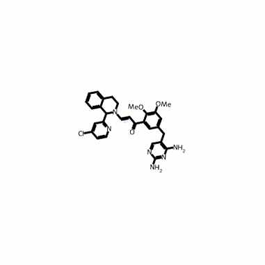 COc1cc(Cc2cnc(N)nc2N)cc(C(=O)/C=C/N2CCc3ccccc3C2c2cc(Cl)ccn2)c1OC